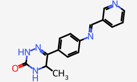 CC1NC(=O)NN=C1c1ccc(/N=C/c2cccnc2)cc1